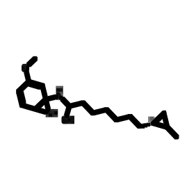 COC1=CC2(NC(O)CCCCCC[C@@H]3CC3C)NC2C=C1